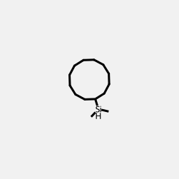 C[SiH](C)C1CCCCCCCCCCC1